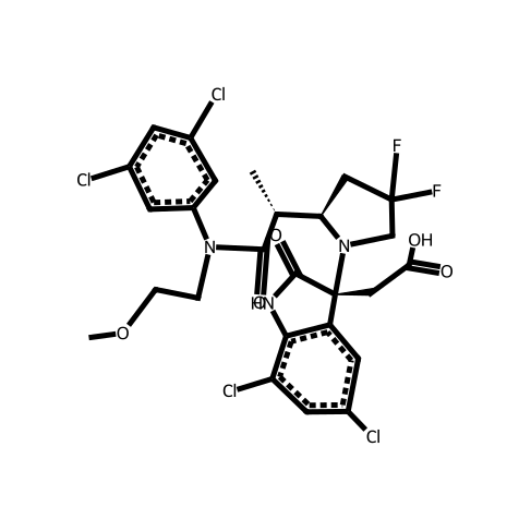 COCCN(C(=O)[C@H](C)[C@H]1CC(F)(F)CN1[C@@]1(CC(=O)O)C(=O)Nc2c(Cl)cc(Cl)cc21)c1cc(Cl)cc(Cl)c1